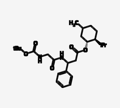 CC1CC[C@@H](C(C)C)[C@H](OC(=O)CC(NC(=O)CNC(=O)OC(C)(C)C)c2ccccc2)C1